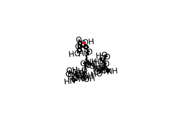 CC(=O)N[C@@H](CCC(=O)O)C(=O)N[C@@H](Cc1c[nH]cn1)C(=O)N[C@H](C(=O)NCCOCC(=O)N[C@H](CCCCNC(=O)c1ccc(C(=O)O)c(-c2c3ccc(=O)cc-3oc3cc(O)ccc23)c1)C(=O)NCCOCC(=O)N[C@@H](C(=O)N[C@H](Cc1c[nH]cn1)C(=O)N[C@H](CCC(=O)O)C(N)=O)[C@H](C)O)[C@@H](C)O